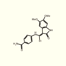 CCC(Nc1ccc(C(N)=O)cc1)=C1C(=O)Nc2cc(OC)c(OC)cc21